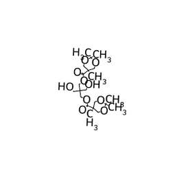 CC1(C)OCC(C)(C(=O)OCC(CO)(CO)COC(=O)C2(C)COC(C)(C)OC2)CO1